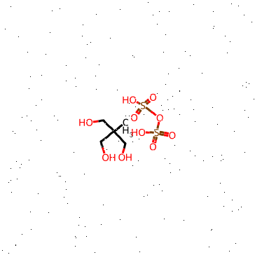 CC(CO)(CO)CO.O=S(=O)(O)OS(=O)(=O)O